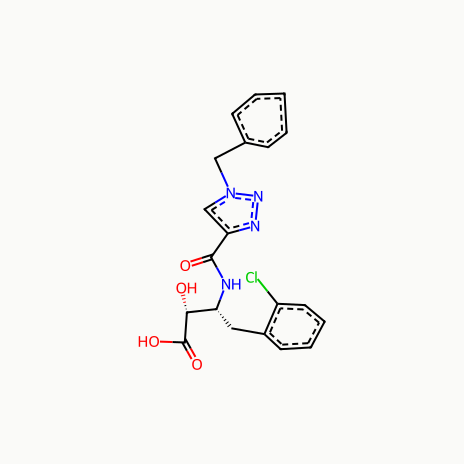 O=C(N[C@H](Cc1ccccc1Cl)[C@@H](O)C(=O)O)c1cn(Cc2ccccc2)nn1